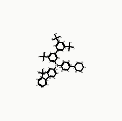 CC(C)(C)c1cc(-c2cc(C(C)(C)C)cc(C(C)(C)C)c2)cc(N(c2ccc(C3CCCCC3)cc2)c2ccc3c(c2)C(C)(C)c2ccccc2-3)c1